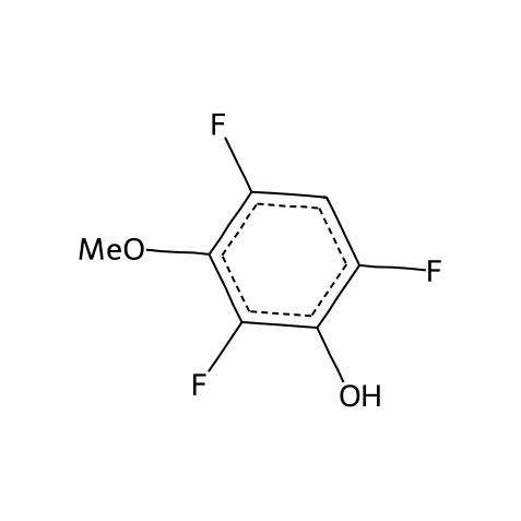 COc1c(F)cc(F)c(O)c1F